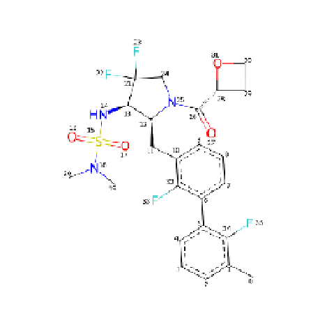 Cc1cccc(-c2cccc(C[C@H]3[C@@H](NS(=O)(=O)N(C)C)C(F)(F)CN3C(=O)[C@H]3CCO3)c2F)c1F